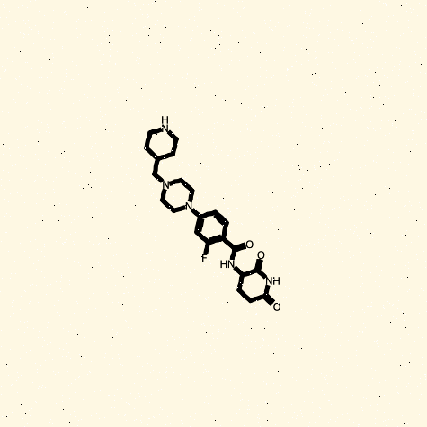 O=C1CCC(NC(=O)c2ccc(N3CCN(CC4CCNCC4)CC3)cc2F)C(=O)N1